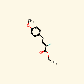 CCOC(=O)C(F)=CCc1ccc(OC)cc1